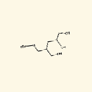 CCCCOCC(CO)CC(O)CO